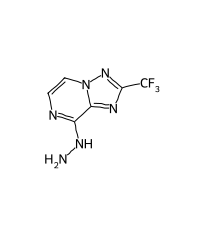 NNc1nccn2nc(C(F)(F)F)nc12